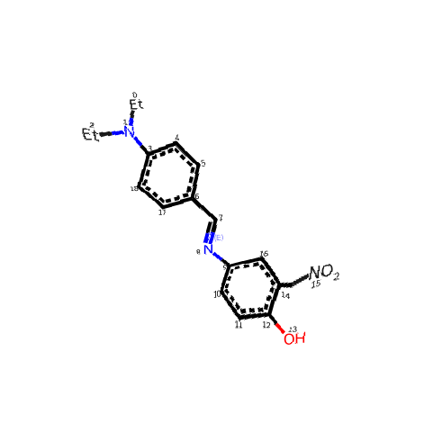 CCN(CC)c1ccc(/C=N/c2ccc(O)c([N+](=O)[O-])c2)cc1